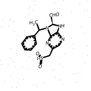 CC(c1ccccc1)N1c2nc(C[SH](=O)=O)cnc2N[C@@H]1C=O